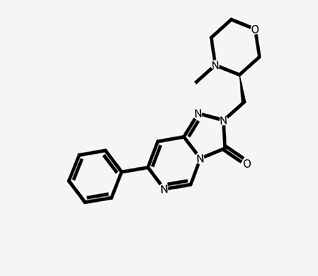 CN1CCOC[C@H]1Cn1nc2cc(-c3ccccc3)ncn2c1=O